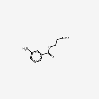 COCCOC(=O)c1cccc(N)c1